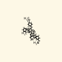 CCOc1ccc(CC(NC(=O)c2ccccc2C)C(=O)NC(Cc2cccnc2)C(=O)NCc2ccc(CN)cc2)cc1